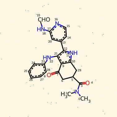 CN(C)C(=O)C1CC(=O)c2c([nH]c(-c3ccnc(NC=O)c3)c2Nc2ccccc2)C1